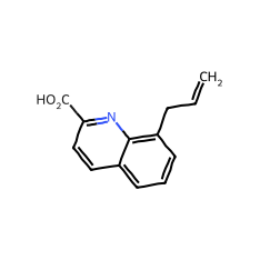 C=CCc1cccc2ccc(C(=O)O)nc12